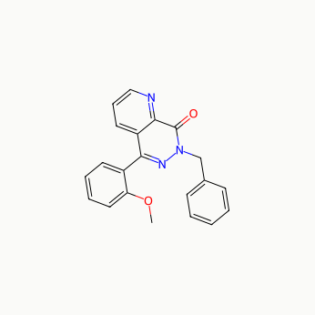 COc1ccccc1-c1nn(Cc2ccccc2)c(=O)c2ncccc12